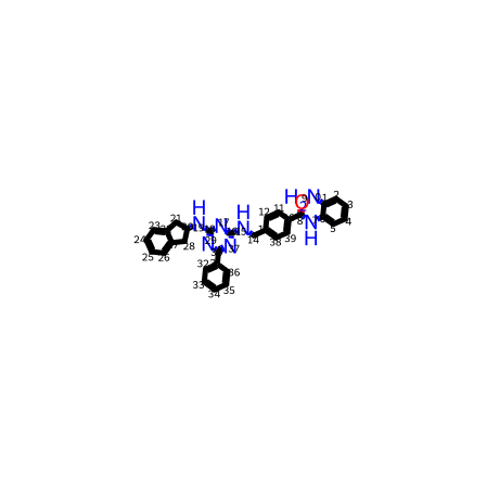 Nc1ccccc1NC(=O)c1ccc(CNc2nc(NC3Cc4ccccc4C3)nc(-c3ccccc3)n2)cc1